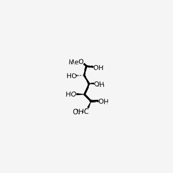 COC(O)[C@@H](O)[C@@H](O)[C@H](O)[C@@H](O)C=O